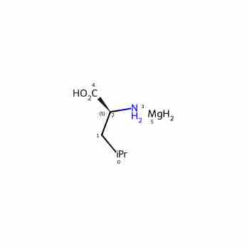 CC(C)C[C@H](N)C(=O)O.[MgH2]